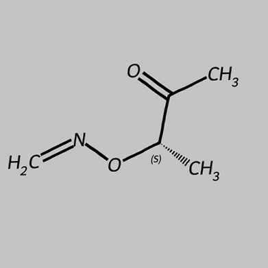 C=NO[C@@H](C)C(C)=O